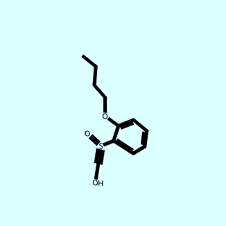 CCCCOc1ccccc1S(=O)#CO